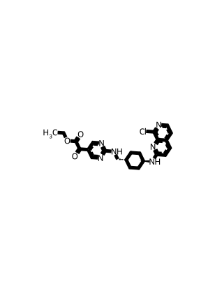 CCOC(=O)C(=O)c1cnc(NC[C@H]2CC[C@H](Nc3ccc4ccnc(Cl)c4n3)CC2)nc1